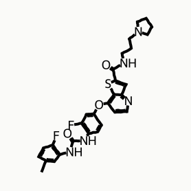 Cc1ccc(F)c(NC(=O)Nc2ccc(Oc3ccnc4cc(C(=O)NCCCN5CCCC5)sc34)cc2F)c1